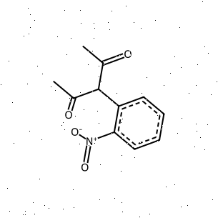 CC(=O)C(C(C)=O)c1ccccc1[N+](=O)[O-]